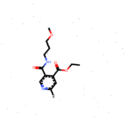 CCOC(=O)c1c[c]([K])ncc1C(=O)NCCCOC